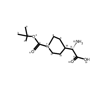 CC(C)(C)OC(=O)N1CCC([C@H](N)C(=O)O)CC1